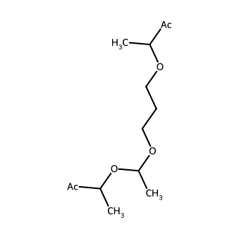 CC(=O)C(C)OCCCOC(C)OC(C)C(C)=O